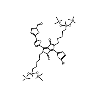 C[Si](C)(C)O[Si](C)(CCCCCN1C(=O)C2=C(c3ccc(-c4ccc(C=O)s4)s3)N(CCCCC[Si](C)(O[Si](C)(C)C)O[Si](C)(C)C)C(=O)C2=C1c1ccc(Br)s1)O[Si](C)(C)C